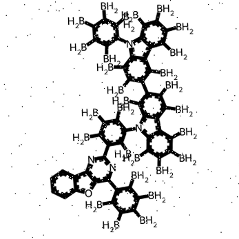 Bc1c(B)c(B)c(-c2nc(-c3c(B)c(B)c(B)c(-n4c5c(B)c(B)c(B)c(B)c5c5c(B)c(B)c(-c6c(B)c(B)c7c(c6B)c6c(B)c(B)c(B)c(B)c6n7-c6c(B)c(B)c(B)c(B)c6B)c(B)c54)c3B)nc3c2oc2ccccc23)c(B)c1B